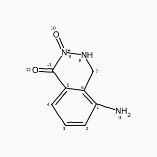 Nc1cccc2c1CN[N+](=O)C2=O